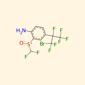 Nc1ccc(C(F)(C(F)(F)F)C(F)(F)Br)cc1[S+]([O-])C(F)F